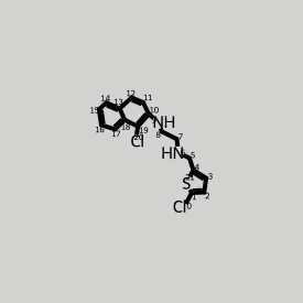 Clc1ccc(CNCCNc2ccc3ccccc3c2Cl)s1